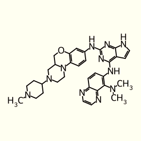 CN1CCC(N2CCN3c4ccc(Nc5nc(Nc6ccc7nccnc7c6N(C)C)c6cc[nH]c6n5)cc4OCC3C2)CC1